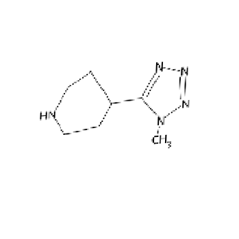 Cn1nnnc1C1CCNCC1